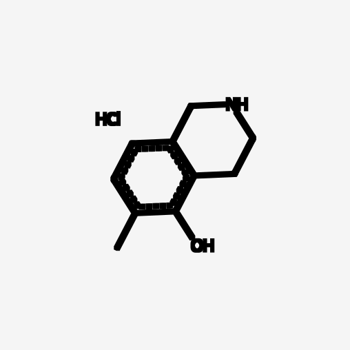 Cc1ccc2c(c1O)CCNC2.Cl